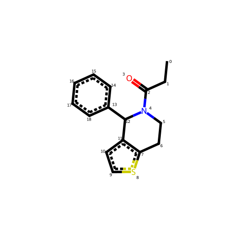 CCC(=O)N1CCc2sccc2C1c1ccccc1